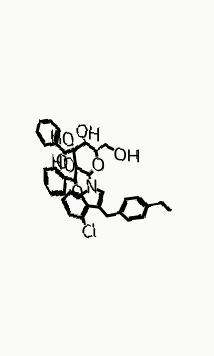 CCc1ccc(Cc2cn([C@@H]3O[C@H](CO)[C@H](O)[C@@](O)(C(=O)c4ccccc4)[C@]3(O)C(=O)c3ccccc3)c3cccc(Cl)c23)cc1